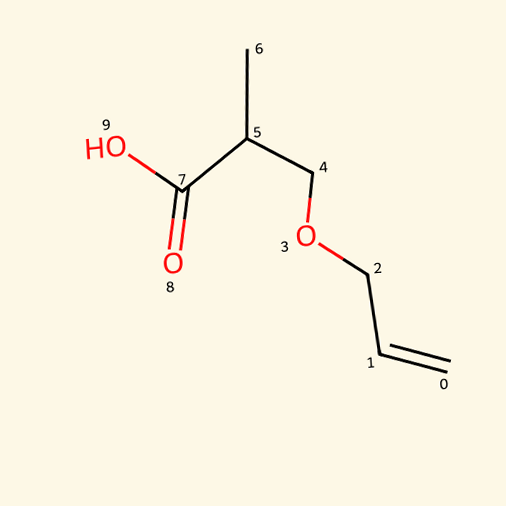 C=CCOCC(C)C(=O)O